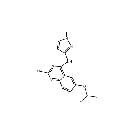 CC(C)Oc1ccc2nc(Cl)nc(Nc3ccn(C)n3)c2c1